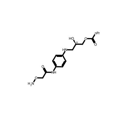 CCCC(=O)OC[C@H](O)CNc1ccc(NC(=O)CON)cc1